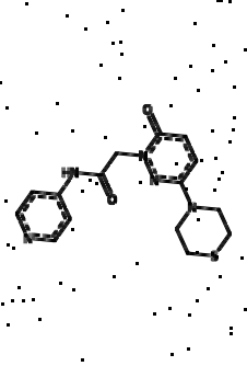 O=C(Cn1nc(N2CCSCC2)ccc1=O)Nc1ccncc1